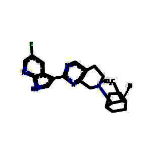 O=C(O)[C@H]1C2CCC(CC2)C1N1CCc2cnc(-c3c[nH]c4ncc(F)cc34)nc2C1